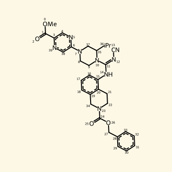 COC(=O)c1cnc(N2CCN(C(=NC#N)Nc3cccc4c3CCN(C(=O)OCc3ccccc3)C4)C(C(C)C)C2)cn1